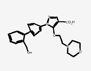 O=C(O)c1cnn(-c2ccc(-c3ccccc3CO)cc2)c1OCCN1CCOCC1